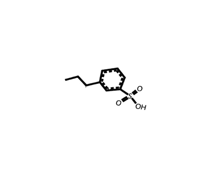 CC[CH]c1cccc(S(=O)(=O)O)c1